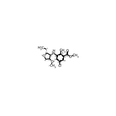 CC[C@H]1OCC(OC)[C@@H]1Nc1cc(Cl)cc(C(=O)OC)c1C